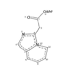 COC(=O)Cc1ncc2ccccn12